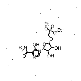 CCOP(=O)(CO[C@H]1O[C@@H](n2cnc(C(N)=O)c2O)[C@H](O)[C@@H]1O)OCC